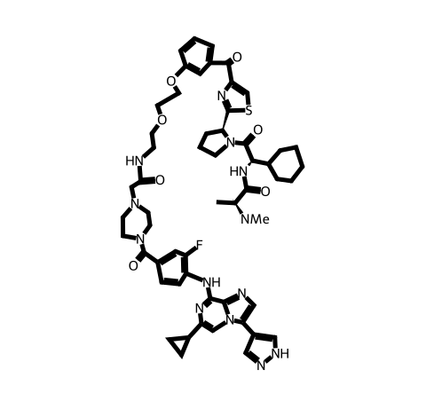 CN[C@@H](C)C(=O)N[C@H](C(=O)N1CCC[C@H]1c1nc(C(=O)c2cccc(OCCOCCNC(=O)CN3CCN(C(=O)c4ccc(Nc5nc(C6CC6)cn6c(-c7cn[nH]c7)cnc56)c(F)c4)CC3)c2)cs1)C1CCCCC1